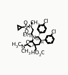 CC[C@@H](CN(C)S(=O)(=O)C1CC1)N1C(=O)[C@](CCN(C)C)(CC(=O)O)C[C@H](c2cccc(Cl)c2)[C@H]1c1ccc(Cl)cc1